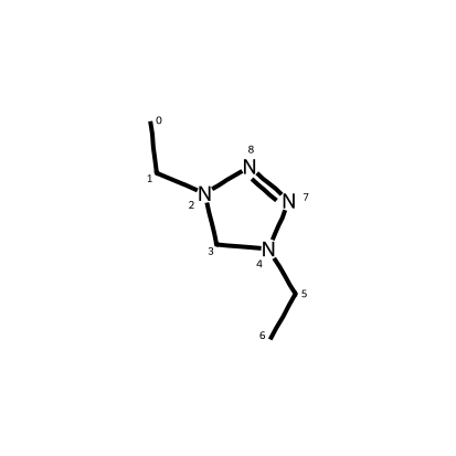 CCN1CN(CC)N=N1